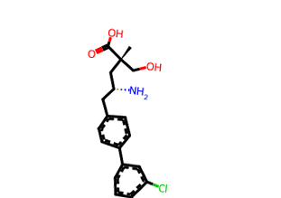 C[C@@](CO)(C[C@H](N)Cc1ccc(-c2cccc(Cl)c2)cc1)C(=O)O